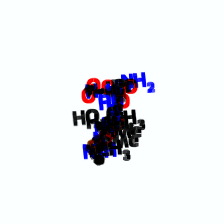 CO[C@H]([C@@H](C)C(=O)N[C@@H](Cc1ccccc1)c1nccs1)[C@@H]1CCCN1C(=O)C[C@@H](OC)[C@H](C1CCCC1)N(C)C(=O)[C@@H](NC(=O)C(C)(C)N(Cc1ccc(NC(=O)[C@H](CCCNC(N)=O)NC(=O)[C@@H](NC(=O)CCCCCN2C(=O)C=CC2=O)C(C)C)cc1)C(=O)O)C(C)C